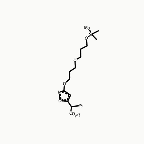 CCOC(=O)C(c1cc(OCCCOCCCO[Si](C)(C)C(C)(C)C)no1)C(C)C